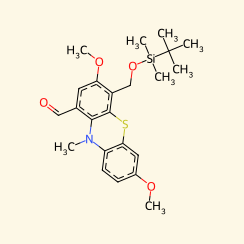 COc1ccc2c(c1)Sc1c(CO[Si](C)(C)C(C)(C)C)c(OC)cc(C=O)c1N2C